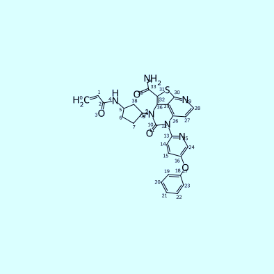 C=CC(=O)NC1CC[C@H](N2C(=O)N(c3ccc(Oc4ccccc4)cn3)c3ccnc4sc(C(N)=O)c2c34)C1